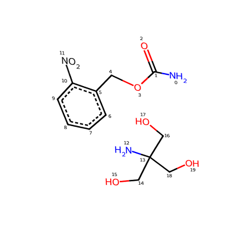 NC(=O)OCc1ccccc1[N+](=O)[O-].NC(CO)(CO)CO